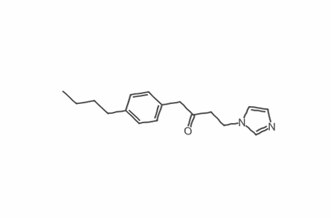 CCCCc1ccc(CC(=O)CCn2ccnc2)cc1